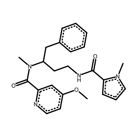 COc1ccnc(C(=O)N(C)C(CCNC(=O)c2cccn2C)Cc2ccccc2)c1